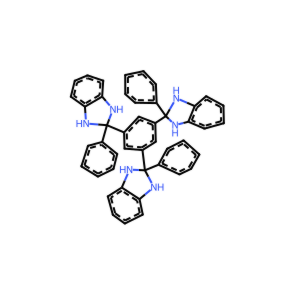 c1ccc(C2(c3cc(C4(c5ccccc5)Nc5ccccc5N4)cc(C4(c5ccccc5)Nc5ccccc5N4)c3)Nc3ccccc3N2)cc1